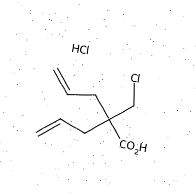 C=CCC(CCl)(CC=C)C(=O)O.Cl